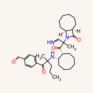 CCCC(C)(N[C@H]1CCCCCC[C@H]1C(=O)C(C)(C=N)N1C(=O)[C@@H]2CCCCCC[C@@H]21)C(=O)c1ccc(C=O)cc1